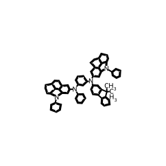 CC1(C)c2ccccc2-c2ccc(N(c3cccc(N(c4ccccc4)c4cc5ccc6cccc7c6c5c(c4)n7-c4ccccc4)c3)c3cc4ccc5cccc6c5c4c(c3)n6-c3ccccc3)cc21